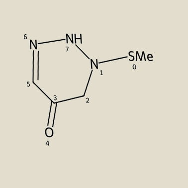 CSN1CC(=O)C=NN1